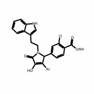 COC(=O)c1ccc(C2C(C(C)=O)=C(O)C(=O)N2CCc2c[nH]c3ccccc23)cc1Cl